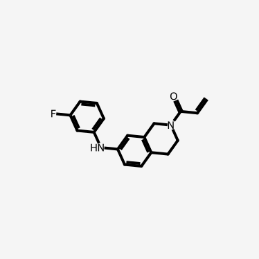 C=CC(=O)N1CCc2ccc(Nc3cccc(F)c3)cc2C1